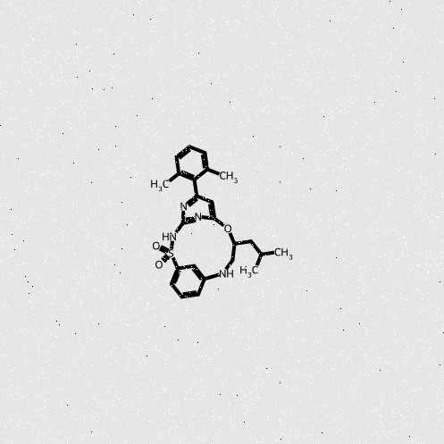 Cc1cccc(C)c1-c1cc2nc(n1)NS(=O)(=O)c1cccc(c1)NCC(CC(C)C)O2